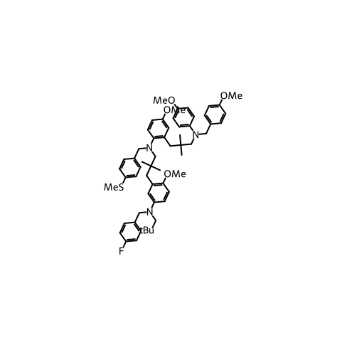 COc1ccc(CN(CC(C)(C)Cc2cc(OC)ccc2N(Cc2ccc(SC)cc2)CC(C)(C)Cc2cc(N(Cc3ccc(F)cc3)CC(C)(C)C)ccc2OC)c2ccc(OC)cc2)cc1